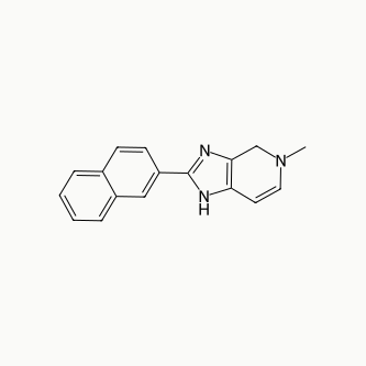 CN1C=Cc2[nH]c(-c3ccc4ccccc4c3)nc2C1